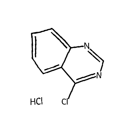 Cl.Clc1ncnc2ccccc12